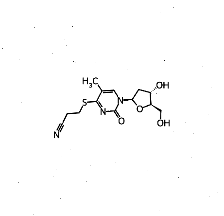 Cc1cn([C@H]2C[C@H](O)[C@@H](CO)O2)c(=O)nc1SCCC#N